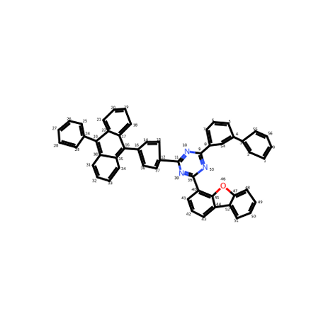 c1ccc(-c2cccc(-c3nc(-c4ccc(-c5c6ccccc6c(-c6ccccc6)c6ccccc56)cc4)nc(-c4cccc5c4oc4ccccc45)n3)c2)cc1